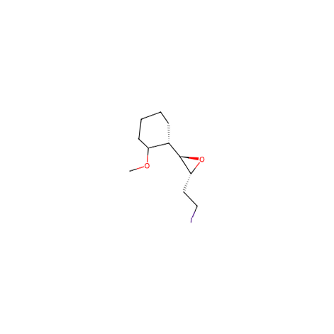 COC1CCCC[C@@H]1[C@H]1O[C@@H]1CCI